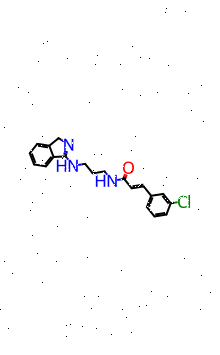 O=C(/C=C/c1cccc(Cl)c1)NCCCNC1=NCc2ccccc21